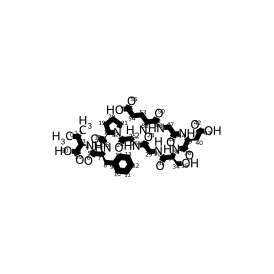 CC(C)[C@H](NC(=O)[C@H](Cc1ccccc1)NC(=O)[C@@H]1CCCN1C(=O)CNC(=O)CNC(=O)[C@H](CO)NC(=O)[C@H](CC(=O)O)NC(=O)CNC(=O)[C@@H](N)CCC(=O)O)C(=O)O